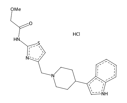 COCC(=O)Nc1nc(CN2CCC(c3c[nH]c4ccccc34)CC2)cs1.Cl